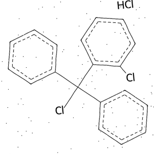 Cl.Clc1ccccc1C(Cl)(c1ccccc1)c1ccccc1